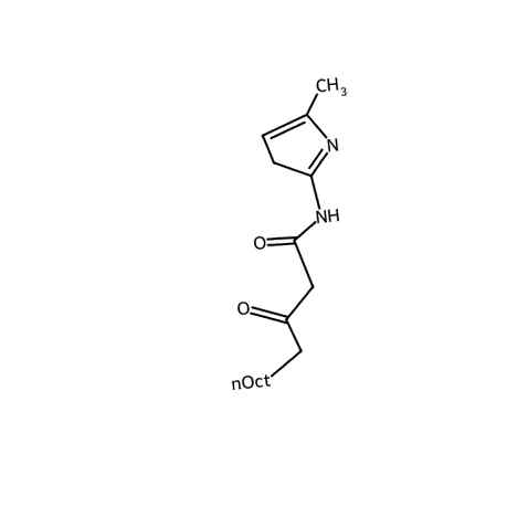 CCCCCCCCCC(=O)CC(=O)NC1=NC(C)=CC1